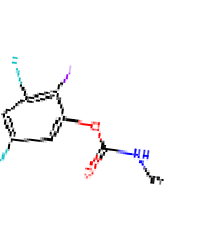 CC(C)NC(=O)Oc1cc(F)cc(F)c1I